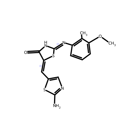 COc1cccc(/N=C2/NC(=O)/C(=C/c3cnc(N)s3)S2)c1C